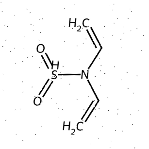 C=CN(C=C)[SH](=O)=O